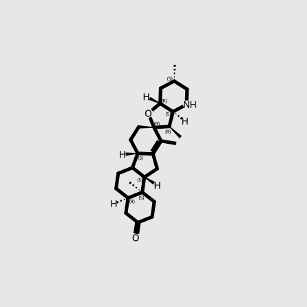 CC1=C2C[C@H]3C(CC[C@@H]4CC(=O)CC[C@@]43C)[C@@H]2CC[C@]12O[C@@H]1C[C@H](C)CN[C@H]1[C@H]2C